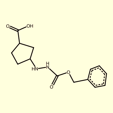 O=C(NNC1CCC(C(=O)O)C1)OCc1ccccc1